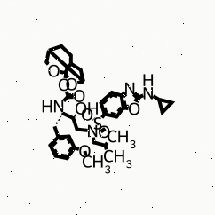 COc1cccc(C[C@H](NC(=O)OC2C3CCC4CC2OC4OC3)[C@H](O)CN(CC(C)C)S(=O)(=O)c2ccc3nc(NC4CC4)oc3c2)c1